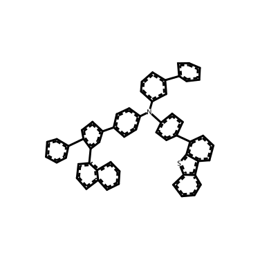 c1ccc(-c2cccc(N(c3ccc(-c4ccc(-c5ccccc5)c(-c5cccc6ccccc56)c4)cc3)c3ccc(-c4cccc5c4sc4ccccc45)cc3)c2)cc1